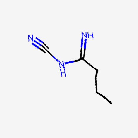 CCCC(=N)NC#N